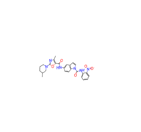 Cc1nc(N2CCCC(C)C2)oc1C(=O)Nc1ccc2c(ccn2C(=O)Nc2ccccc2[N+](=O)[O-])c1